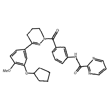 COc1ccc(C2=NN(C(=O)c3cccc(NC(=O)c4ncccn4)c3)CCC2)cc1OC1CCCC1